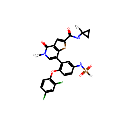 CCS(=O)(=O)Nc1ccc(Oc2ccc(F)cc2F)c(-c2cn(C)c(=O)c3cc(C(=O)NC4(C(F)(F)F)CC4)sc23)c1